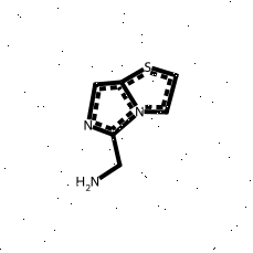 NCc1ncc2sccn12